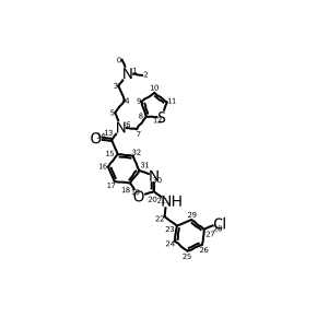 CN(C)CCCN(Cc1cccs1)C(=O)c1ccc2oc(NCc3cccc(Cl)c3)nc2c1